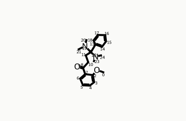 COc1ccccc1C(=O)CCC(c1ccccc1)(N(C)C)N(C)C